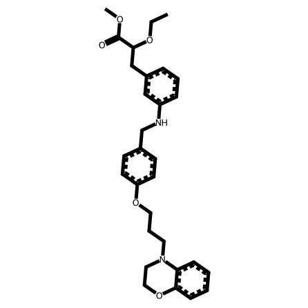 CCOC(Cc1cccc(NCc2ccc(OCCCN3CCOc4ccccc43)cc2)c1)C(=O)OC